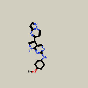 CCOC1CCC(Nc2ncc3c(-c4ccn5nccc5n4)c[nH]c3n2)CC1